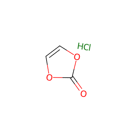 Cl.O=c1occo1